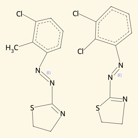 Cc1c(Cl)cccc1/N=N/C1=NCCS1.Clc1cccc(/N=N/C2=NCCS2)c1Cl